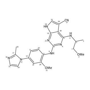 COCC(C)Nc1nc(Nc2ccc(-n3ccnc3C)cc2OC)nc2[nH]cc(C#N)c12